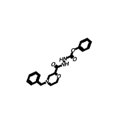 O=C(NNC(=O)C1CN(Cc2ccccc2)CCO1)Oc1ccccc1